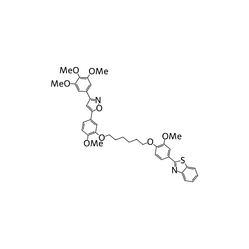 COc1cc(-c2nc3ccccc3s2)ccc1OCCCCCCOc1cc(-c2cc(-c3cc(OC)c(OC)c(OC)c3)no2)ccc1OC